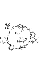 CNC(=O)c1nc2ccc1Nc1nc(ncc1C(F)(F)F)Nc1ccc(cc1OC)CP(NC)OCC(C)(C)Cn1cc-2cn1